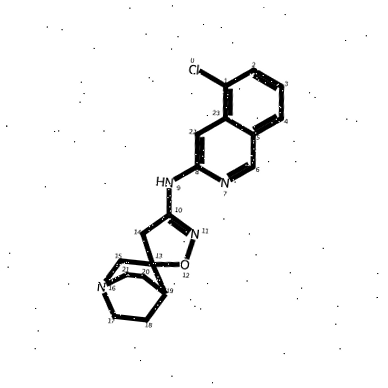 Clc1cccc2cnc(NC3=NOC4(C3)CN3CCC4CC3)cc12